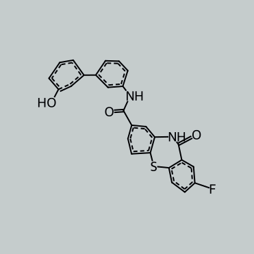 O=C(Nc1cccc(-c2cccc(O)c2)c1)c1ccc2c(c1)NC(=O)c1cc(F)ccc1S2